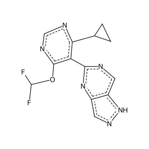 FC(F)Oc1ncnc(C2CC2)c1-c1ncc2[nH]ncc2n1